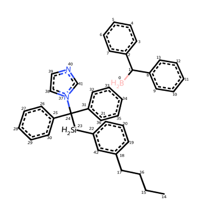 BC(c1ccccc1)c1ccccc1.CCCCc1cccc([SiH2]C(c2ccccc2)(c2ccccc2)n2ccnc2)c1